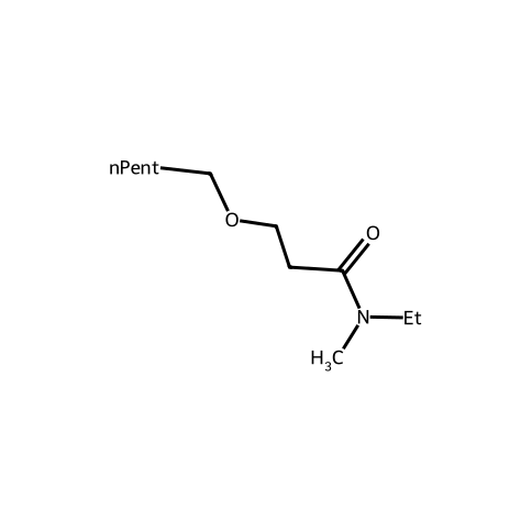 CCCCCCOCCC(=O)N(C)CC